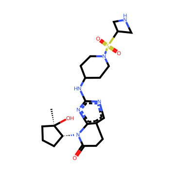 C[C@@]1(O)CCC[C@H]1N1C(=O)CCc2cnc(NC3CCN(S(=O)(=O)C4CNC4)CC3)nc21